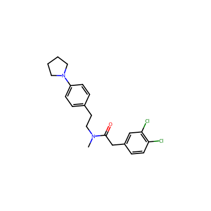 CN(CCc1ccc(N2CCCC2)cc1)C(=O)Cc1ccc(Cl)c(Cl)c1